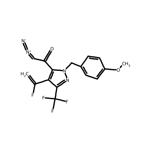 C=C(F)c1c(C(F)(F)F)nn(Cc2ccc(OC)cc2)c1C(=O)C=[N+]=[N-]